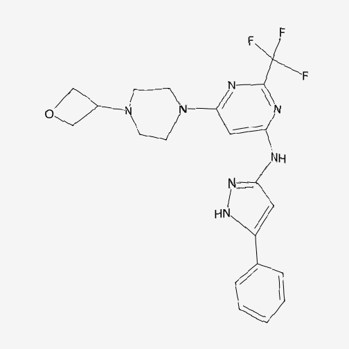 FC(F)(F)c1nc(Nc2cc(-c3ccccc3)[nH]n2)cc(N2CCN(C3COC3)CC2)n1